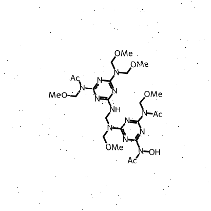 COCN(COC)c1nc(NCN(COC)c2nc(N(O)C(C)=O)nc(N(COC)C(C)=O)n2)nc(N(COC)C(C)=O)n1